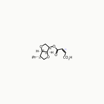 CC(C)[C@H]1CO[C@H]2[C@@H]1OC[C@H]2OC(=O)/C=C\C(=O)O